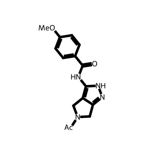 COc1ccc(C(=O)Nc2[nH]nc3c2CN(C(C)=O)C3)cc1